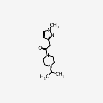 CC(C)N1CCN(C(=O)Cc2ccn(C)n2)CC1